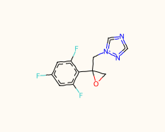 Fc1cc(F)c(C2(Cn3cncn3)CO2)c(F)c1